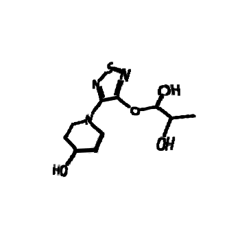 CC(O)C(O)Oc1nsnc1N1CCC(O)CC1